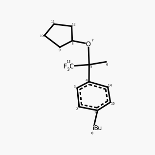 CCC(C)c1ccc(C(C)(OC2CCCC2)C(F)(F)F)cc1